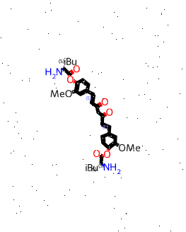 CC[C@H](C)[C@H](N)C(=O)Oc1ccc(/C=C/C(=O)CC(=O)/C=C/c2ccc(OC(=O)[C@@H](N)[C@@H](C)CC)c(OC)c2)cc1OC